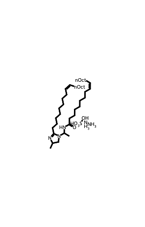 CCCCCCCC/C=C\CCCCCCCCC1=NC(C)CN1C(C)NC(=O)CCCCCCC/C=C\CCCCCCCC.N.N.O=S(=O)(O)O